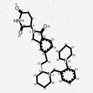 O=C1CCC(N2Cc3cc(CC[C@H]4CCCCN4Cc4ccccc4N4CCCCC4)ccc3C2=O)C(=O)N1